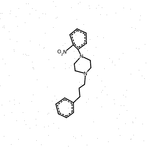 O=[N+]([O-])c1ccccc1N1CCN(CCCc2ccccc2)CC1